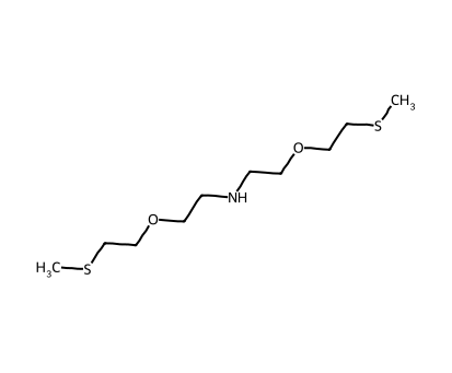 CSCCOCCNCCOCCSC